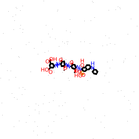 COc1cc(N=Nc2cc(OC)c(N=Nc3c(S(=O)(=O)O)cc4cc(Nc5ccccc5)ccc4c3O)cc2OC)c(OC)cc1N=Nc1cc(C(=O)O)cc(C(=O)O)c1